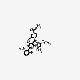 C=CC(=O)N1CCN2C(=O)c3c(N4CC(OC)C[C@@H]4C)nc(-c4c(N)cccc4F)c(F)c3OCC2C1